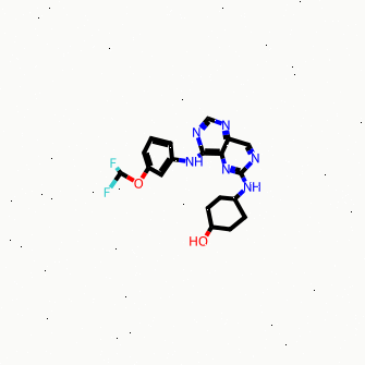 OC1CCC(Nc2ncc3ncnc(Nc4cccc(OC(F)F)c4)c3n2)CC1